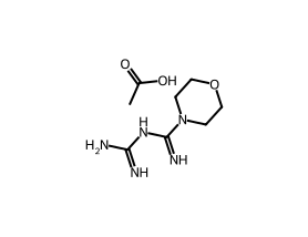 CC(=O)O.N=C(N)NC(=N)N1CCOCC1